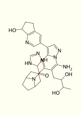 CC(O)C(O)Cc1c(C2CC3CCC(C2)N3C(=O)C2NC=NN2)nc2c(-c3cnc4c(c3)CCC4O)cnn2c1N